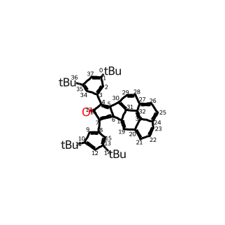 CC(C)(C)c1cc(C2=C3C(=C(c4cc(C(C)(C)C)cc(C(C)(C)C)c4)C2=O)c2cc4cccc5ccc6ccc3c2c6c54)cc(C(C)(C)C)c1